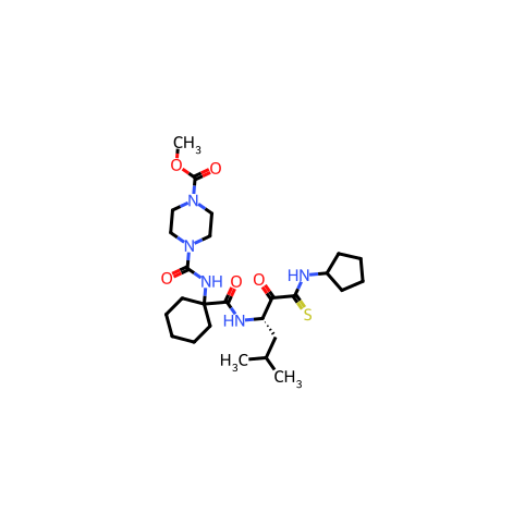 COC(=O)N1CCN(C(=O)NC2(C(=O)N[C@@H](CC(C)C)C(=O)C(=S)NC3CCCC3)CCCCC2)CC1